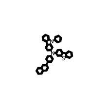 c1ccc(-n2c3ccccc3c3ccc(N(c4ccc(-c5ccc6ccccc6c5)cc4)c4ccc5c(c4)sc4ccccc45)cc32)cc1